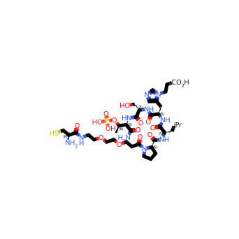 CC(C)C[C@H](NC(=O)[C@@H]1CCCN1C(=O)CCOCCOCCNC(=O)[C@@H](N)CS)C(=O)N[C@@H](Cc1cncn1CCC(=O)O)C(=O)N[C@@H](CO)C(=O)N[C@H](C(N)=O)[C@@H](C)OP(=O)(O)O